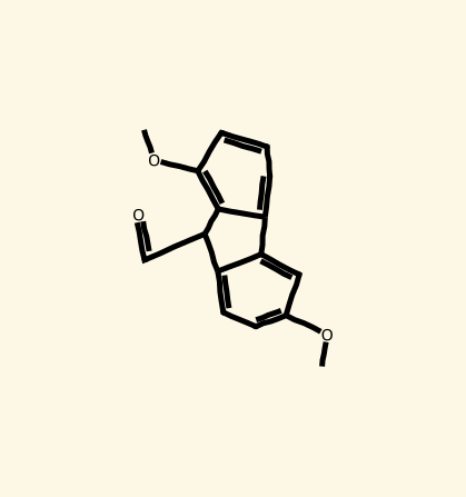 COc1ccc2c(c1)-c1cccc(OC)c1C2C=O